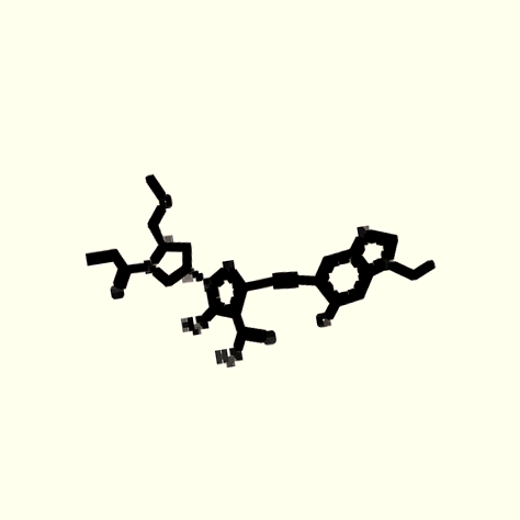 C=CC(=O)N1C[C@@H](n2nc(C#Cc3cc4ncn(CC)c4cc3Cl)c(C(N)=O)c2N)C[C@@H]1COC